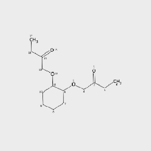 CCC(=O)COC1CCCCC1OCC(=O)CC